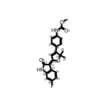 COC(=O)Nc1ccc(C2=C/C(=C3\C(=O)Nc4cc(F)ccc43)OC2(C)C)cc1